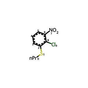 CCCSc1cccc([N+](=O)[O-])c1Cl